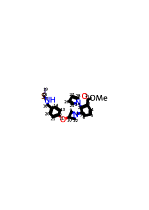 COC(=O)c1cccc(N2CC(Oc3ccc(CNSI)cc3)C2)c1-n1cccc1